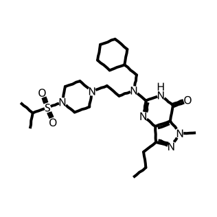 CCCc1nn(C)c2c(=O)[nH]c(N(CCN3CCN(S(=O)(=O)C(C)C)CC3)CC3CCCCC3)nc12